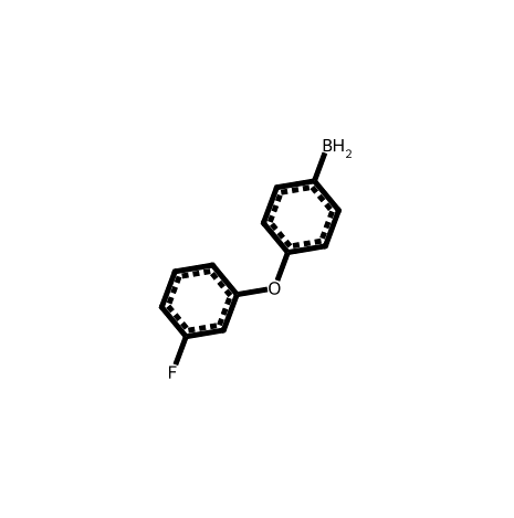 Bc1ccc(Oc2cccc(F)c2)cc1